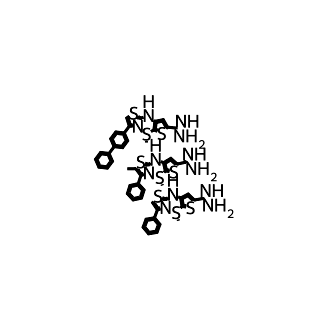 CSc1sc(C(=N)N)cc1Nc1nc(-c2ccc(-c3ccccc3)cc2)cs1.CSc1sc(C(=N)N)cc1Nc1nc(-c2ccccc2)c(C)s1.CSc1sc(C(=N)N)cc1Nc1nc(-c2ccccc2)cs1